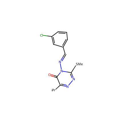 CSc1nnc(C(C)C)c(=O)n1N=Cc1cccc(Cl)c1